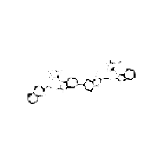 Cn1nnnc1-n1c(OCc2ccc3ccccc3n2)nc2cc(-c3ccc4nc(COc5nc6ccccc6n5-c5nnnn5C)n(C)c4c3)ccc21